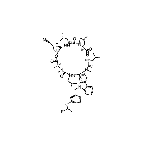 CC(C)C[C@@H]1NC(=O)[C@H](Cc2cn(Cc3cccc(OC(F)F)c3)c3ccccc23)N(C)C(=O)[C@H](CC(C)C)NC(=O)[C@H](CC(C)C)N(C)C(=O)[C@H](CC(C)C)NC(=O)[C@@H](CCC#N)OC(=O)[C@H](C)N(C)C1=O